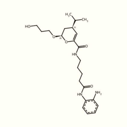 CC(C)[C@H]1C=C(C(=O)NCCCCC(=O)Nc2ccccc2N)O[C@@H](OCCCO)C1